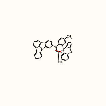 Cc1ccc2c(c1)S1(c3ccccc3Oc3ccccc31)c1cc(C)ccc1N2c1ccc2c3cccc4c5ccccc5n(c2c1)c43